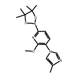 COc1nc(B2OC(C)(C)C(C)(C)O2)ccc1-n1cnc(C)c1